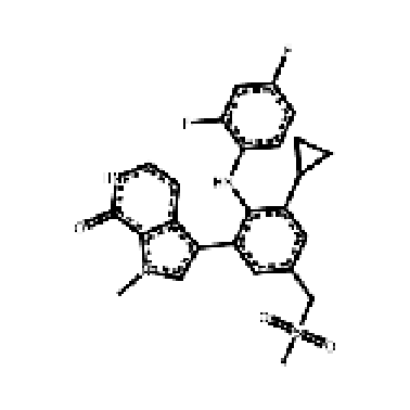 Cn1cc(-c2cc(CS(C)(=O)=O)cc(C3CC3)c2Nc2ccc(F)cc2F)c2cc[nH]c(=O)c21